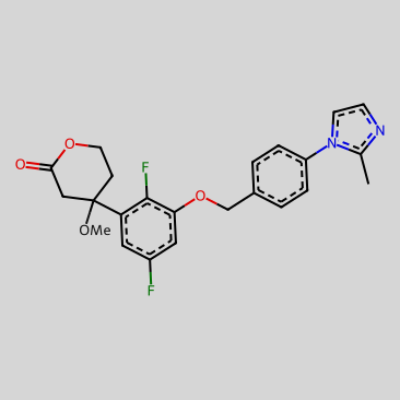 COC1(c2cc(F)cc(OCc3ccc(-n4ccnc4C)cc3)c2F)CCOC(=O)C1